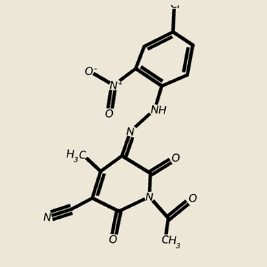 CC(=O)N1C(=O)C(C#N)=C(C)/C(=N/Nc2ccc(Cl)cc2[N+](=O)[O-])C1=O